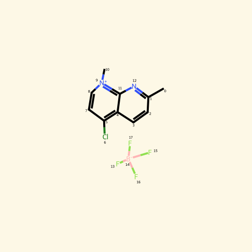 Cc1ccc2c(Cl)cc[n+](C)c2n1.F[B-](F)(F)F